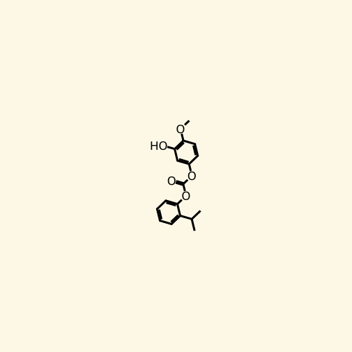 COc1ccc(OC(=O)Oc2ccccc2C(C)C)cc1O